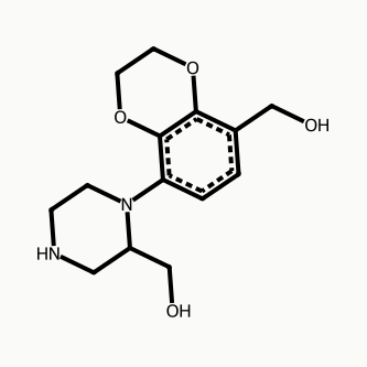 OCc1ccc(N2CCNCC2CO)c2c1OCCO2